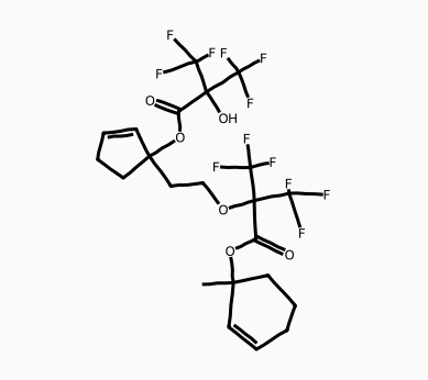 CC1(OC(=O)C(OCCC2(OC(=O)C(O)(C(F)(F)F)C(F)(F)F)C=CCC2)(C(F)(F)F)C(F)(F)F)C=CCCC1